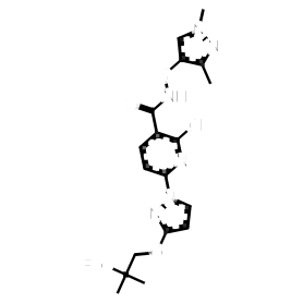 Cc1nn(C)cc1SNC(=O)c1ccc(-n2ccc(OCC(C)(C)C(F)(F)F)n2)nc1Cl